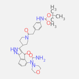 CC(C)(C)OC(=O)Nc1ccc(CC(=O)N2CCC(c3[nH]nc4c3C(=O)c3c-4cccc3N(C(N)=O)N3CCOCC3)CC2)cc1